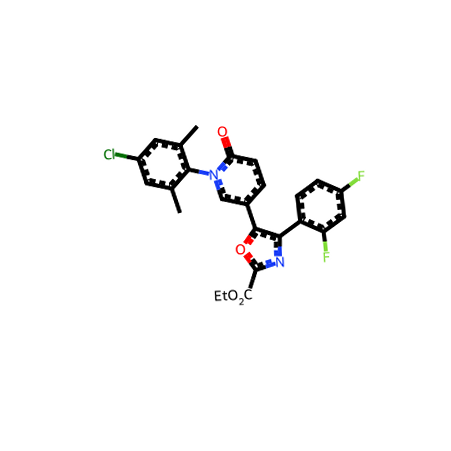 CCOC(=O)c1nc(-c2ccc(F)cc2F)c(-c2ccc(=O)n(-c3c(C)cc(Cl)cc3C)c2)o1